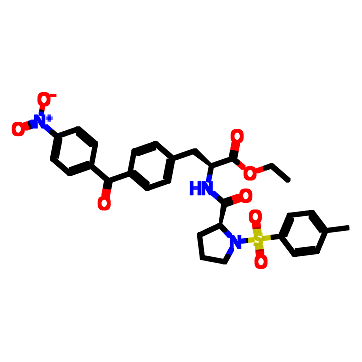 CCOC(=O)[C@H](Cc1ccc(C(=O)c2ccc([N+](=O)[O-])cc2)cc1)NC(=O)[C@@H]1CCCN1S(=O)(=O)c1ccc(C)cc1